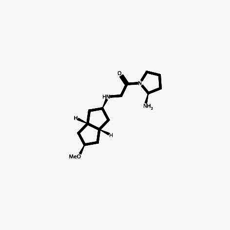 CO[C@@H]1C[C@H]2C[C@H](NCC(=O)N3CCC[C@H]3N)C[C@H]2C1